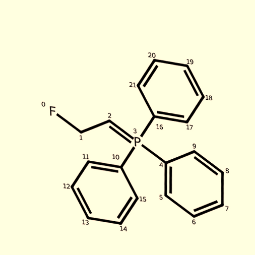 FCC=P(c1ccccc1)(c1ccccc1)c1ccccc1